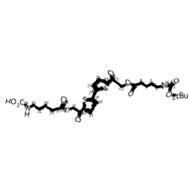 CC(C)(C)OC(=O)NCCCCC(=O)OCC(=O)c1ccc(-c2ccc(C(=O)COC(=O)CCCCNC(=O)O)s2)s1